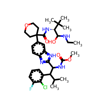 CCNC(O)[C@H](NC(=O)C1(c2ccc3nc(C(NC(=O)OC)C(c4cccc(F)c4Cl)C(C)C)[nH]c3c2)CCOCC1)C(C)(C)C